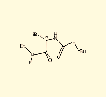 CCC(C)[C@H](NC(=O)OC(C)(C)C)C(=O)N(CC)CC